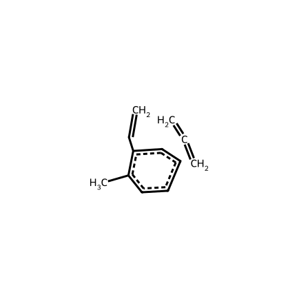 C=C=C.C=Cc1ccccc1C